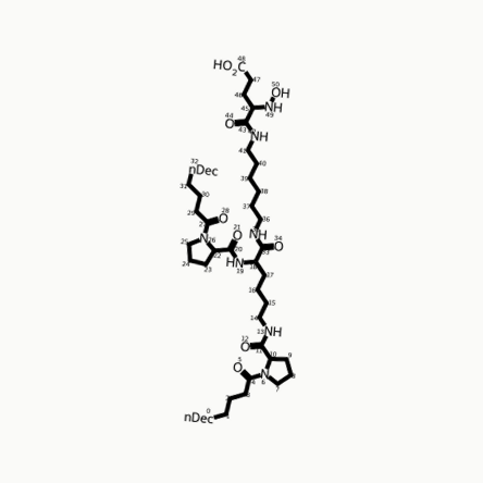 CCCCCCCCCCCCCC(=O)N1CCCC1C(=O)NCCCCC(NC(=O)C1CCCN1C(=O)CCCCCCCCCCCCC)C(=O)NCCCCCCNC(=O)C(CCC(=O)O)NO